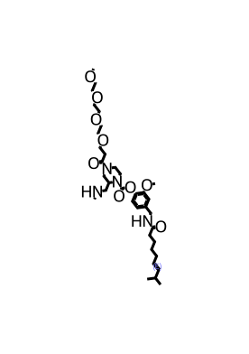 CNCC1CN(C(=O)CCOCCOCCOCCOC)CCN1C(=O)Oc1ccc(CNC(=O)CCCC/C=C/C(C)C)cc1OC